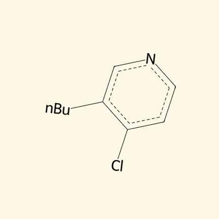 [CH2]CCCc1cnccc1Cl